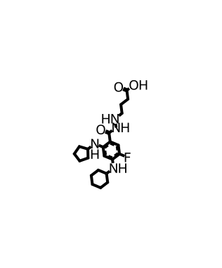 O=C(O)CCCNNC(=O)c1cc(F)c(NC2CCCCC2)cc1NC1CCCC1